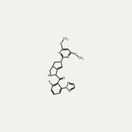 COc1cc(OC)nc(N2C=C3C(CNC3C(=O)c3c(F)cccc3-n3nccn3)C2)n1